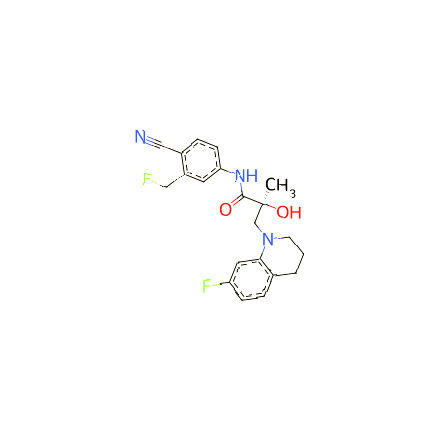 C[C@](O)(CN1CCCc2ccc(F)cc21)C(=O)Nc1ccc(C#N)c(CF)c1